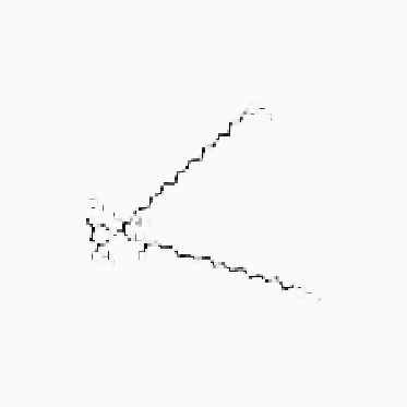 CCCCCCCCCCCCCCCCCCNC(=O)C(COC(=O)CCCCCCCCCCCCCCCCCC)N1CC(C)CC(CC)C1